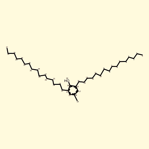 CCCCCCCCCCCCCCCCc1cc(C)cc(CCCCCCCCCCCCCCCC)c1O